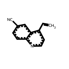 C=Cc1ccnc2ccc(C#N)cc12